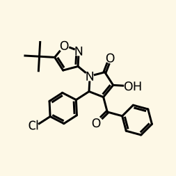 CC(C)(C)c1cc(N2C(=O)C(O)=C(C(=O)c3ccccc3)C2c2ccc(Cl)cc2)no1